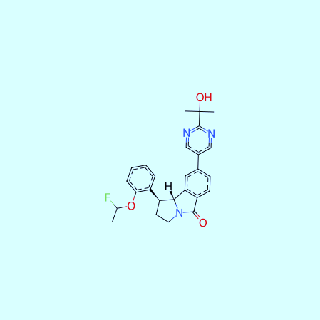 CC(F)Oc1ccccc1[C@@H]1CCN2C(=O)c3ccc(-c4cnc(C(C)(C)O)nc4)cc3[C@@H]12